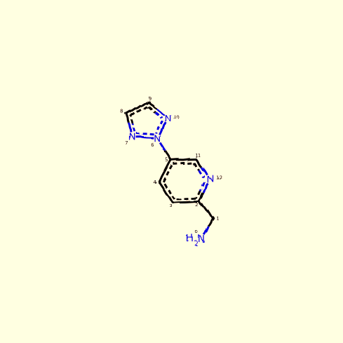 NCc1ccc(-n2nccn2)cn1